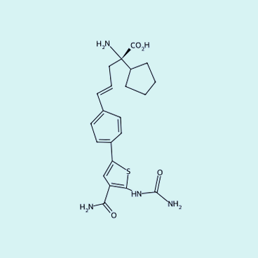 NC(=O)Nc1sc(-c2ccc(C=CC[C@@](N)(C(=O)O)C3CCCC3)cc2)cc1C(N)=O